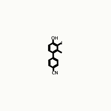 Cc1c(-c2ccc(C#N)cc2)ccc(O)c1I